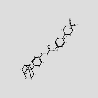 O=C(COc1ccc(C23CC4CC(CC(C4)C2)C3)cc1)Nc1ccc(N2CCS(=O)(=O)CC2)cc1